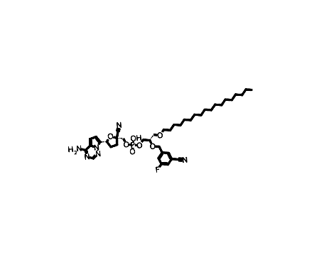 CCCCCCCCCCCCCCCCCCOC[C@@H](COP(=O)(O)OC[C@]1(C#N)CC[C@H](c2ccc3c(N)ncnn23)O1)OCc1cc(F)cc(C#N)c1